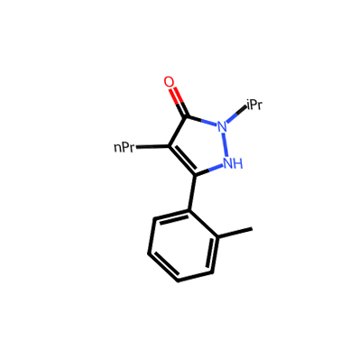 CCCc1c(-c2ccccc2C)[nH]n(C(C)C)c1=O